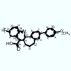 COc1ccc(-c2ccc3c(c2)CCCc2c-3nc3ccc(F)cc3c2C(=O)O)cc1